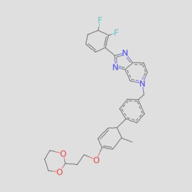 CC1C=C(OCCC2OCCCO2)C=CC1c1ccc(Cn2ccc3nc(C4=C(F)C(F)CC=C4)nc-3c2)cc1